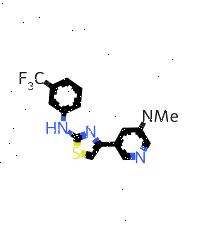 CNc1cncc(-c2csc(Nc3cccc(C(F)(F)F)c3)n2)c1